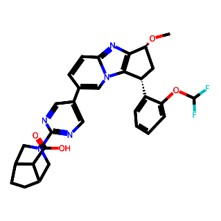 CO[C@@H]1C[C@H](c2ccccc2OC(F)F)c2c1nc1ccc(-c3cnc(N4CC5CCC(C4)C5C(=O)O)nc3)cn21